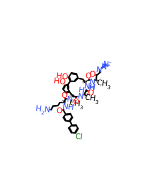 C[C@H](NC(=O)[C@@H]1Cc2ccc(O)c(c2)-c2cc(ccc2O)[C@H](N(C)C(=O)[C@H](CCCCN)NC(=O)c2ccc(-c3ccc(Cl)cc3)cc2)C(=O)N[C@@H](C)C(=O)N1)C(=O)CN=[N+]=[N-]